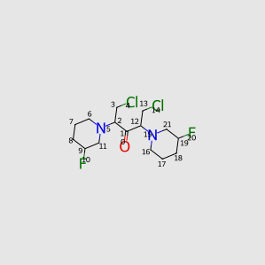 O=C(C(CCl)N1CCCC(F)C1)C(CCl)N1CCCC(F)C1